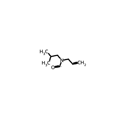 C=CCN([C]=O)CC(C)C